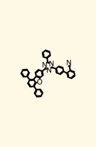 N#Cc1ccccc1-c1ccc(-c2nc(-c3ccccc3)nc(-c3ccc4c(c3)oc3c(-c5ccccc5)ccc(-c5ccccc5)c34)n2)cc1